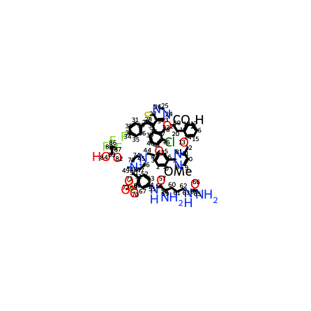 COc1ccccc1-c1nccc(COc2ccccc2C[C@@H](Oc2ncnc3sc(-c4ccc(F)cc4)c(-c4ccc(OCCN5CC[N+](C)(Cc6ccc(NC(=O)[C@@H](N)CCCNC(N)=O)cc6S(=O)(=O)[O-])CC5)c(Cl)c4C)c23)C(=O)O)n1.O=C(O)C(F)(F)F